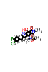 CN1Cc2c(c(O)c3ncc(Cc4ccc(F)c(Cl)c4)cc3c2N(C)S(C)(=O)=O)C1=O